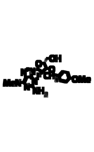 CNc1nc(N)nc2c1ncn2[C@@H]1O[C@H](CO)[C@@H](OCc2ccc(OC)cc2)[C@@]1(C)F